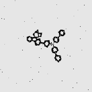 c1ccc(-c2ccc(N(c3ccc(-c4ccccc4)cc3)c3ccc(-c4ccc5c(c4)C4(CC6CC67CCC47)c4ccccc4-5)cc3)cc2)cc1